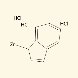 Cl.Cl.Cl.[Zr][CH]1C=Cc2ccccc21